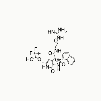 Cc1cc(CC(=O)NCCONC(=N)N)c(NS(=O)(=O)c2cccc3ccccc23)c(=O)[nH]1.O=C(O)C(F)(F)F